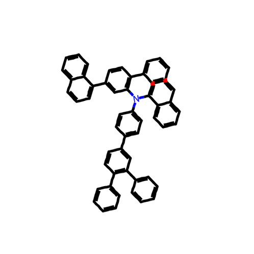 c1ccc(-c2ccc(-c3ccc(N(c4cc(-c5cccc6ccccc56)ccc4-c4ccccc4)c4cccc5ccccc45)cc3)cc2-c2ccccc2)cc1